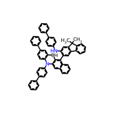 CC1(C)c2ccccc2-c2cc(-c3c4c(cc5ccccc35)N(c3ccc(-c5ccccc5)cc3)c3ccc(-c5ccccc5)cc3B4)c(Nc3ccc(-c4ccccc4)cc3)cc21